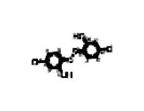 Oc1cc(Cl)ccc1SSc1ccc(Cl)cc1O